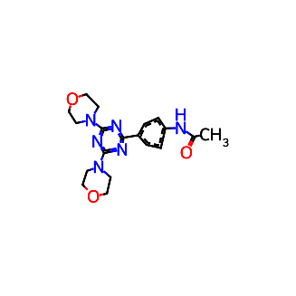 CC(=O)Nc1ccc(-c2nc(N3CCOCC3)nc(N3CCOCC3)n2)cc1